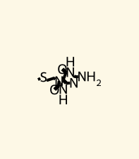 CSCCn1c(=O)[nH]c2nc(N)[nH]c(=O)c21